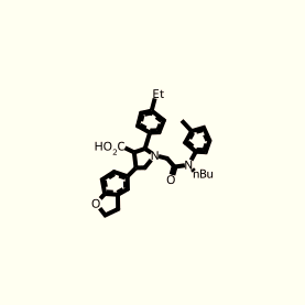 CCCCN(C(=O)CN1CC(c2ccc3c(c2)CCO3)C(C(=O)O)C1c1ccc(CC)cc1)c1cccc(C)c1